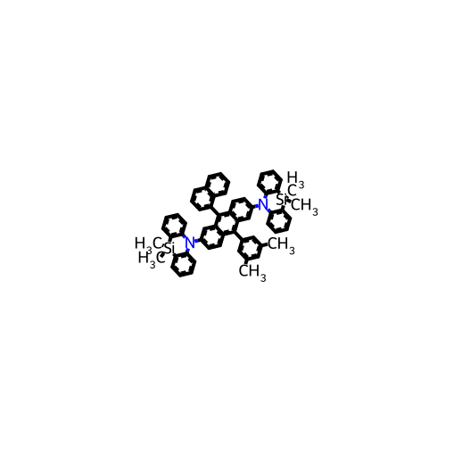 Cc1cc(C)cc(-c2c3cc(N4c5ccccc5[Si](C)(C)c5ccccc54)ccc3c(-c3cccc4ccccc34)c3cc(N4c5ccccc5[Si](C)(C)c5ccccc54)ccc23)c1